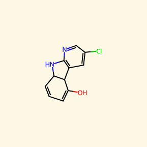 OC1=CC=CC2Nc3ncc(Cl)cc3C12